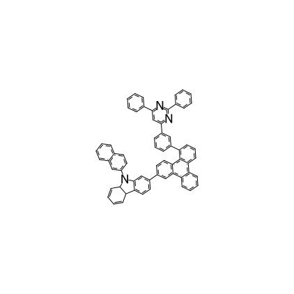 C1=CC2c3ccc(-c4ccc5c(c4)c4ccccc4c4cccc(-c6cccc(-c7cc(-c8ccccc8)nc(-c8ccccc8)n7)c6)c45)cc3N(c3ccc4ccccc4c3)C2C=C1